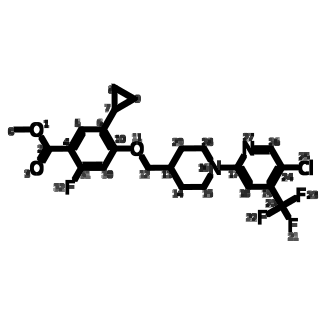 COC(=O)c1cc(C2CC2)c(OCC2CCN(c3cc(C(F)(F)F)c(Cl)cn3)CC2)cc1F